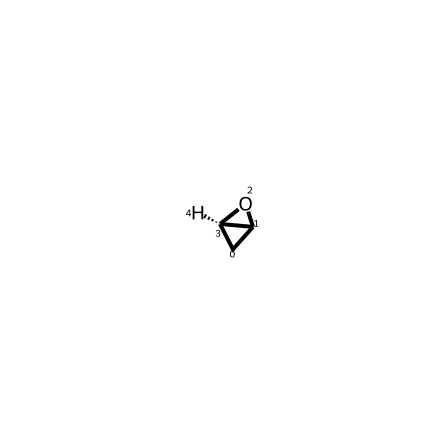 C1C2O[C@H]12